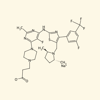 Cc1nc(Nc2nc(-c3cc(F)cc(C(F)(F)F)c3)c(CN3[C@H](C)CC[C@H]3C)s2)c(F)c(N2CCN(CCC(=O)[O-])CC2)n1.[Na+]